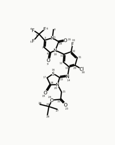 Cn1c(C(F)(F)F)cc(=O)n(-c2cc(N=C3SCC(=O)N3CC(=O)OC(C)(C)C)c(Cl)cc2F)c1=O